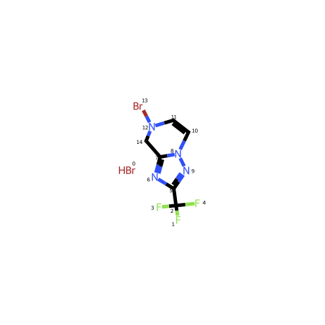 Br.FC(F)(F)c1nc2n(n1)C=CN(Br)C2